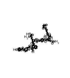 CC(C)[C@H](NC(=O)OCCOCCN1C(=O)C=CC1=O)C(=O)N[C@@H](CCCNC(N)=O)C(=O)Nc1ccc(COC(=O)N(C)CCN(CCCC[C@H](N)C(=O)O)C(=O)Oc2cc3c(c4ccccc24)[C@H](CCl)CN3C(=O)c2cn3cc(NC(=O)c4ccc(O)cc4)ccc3n2)cc1